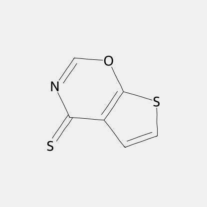 S=c1ncoc2sccc12